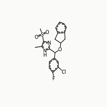 Cc1[nH]c(C(OC2Cc3ccccc3C2)c2ccc(F)c(Cl)c2)nc1S(C)(=O)=O